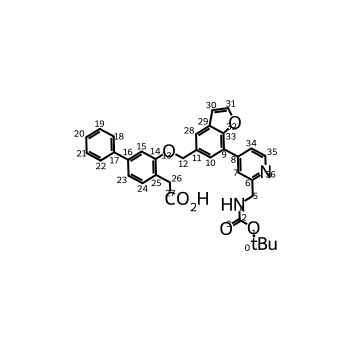 CC(C)(C)OC(=O)NCc1cc(-c2cc(COc3cc(-c4ccccc4)ccc3CC(=O)O)cc3ccoc23)ccn1